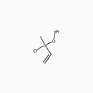 C=C[Si](C)(Cl)OCCC